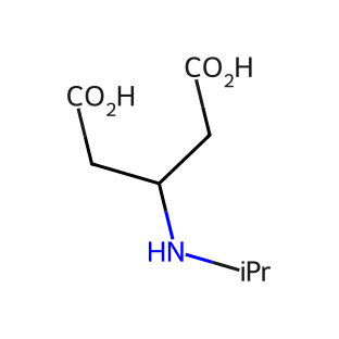 CC(C)NC(CC(=O)O)CC(=O)O